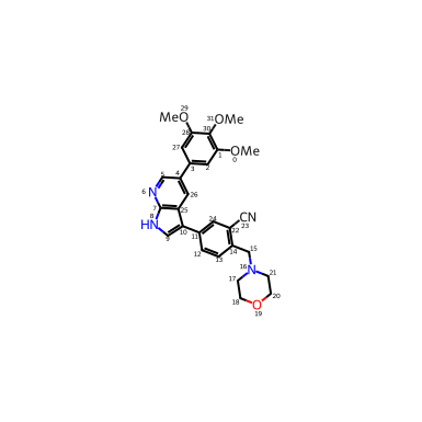 COc1cc(-c2cnc3[nH]cc(-c4ccc(CN5CCOCC5)c(C#N)c4)c3c2)cc(OC)c1OC